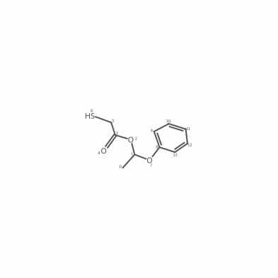 CC(OC(=O)CS)Oc1ccccc1